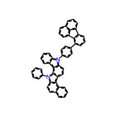 c1ccc(-n2c3ccc4ccccc4c3c3ccc4c(c5ccccc5n4-c4ccc(-c5cccc6c5-c5cccc7cccc-6c57)cc4)c32)cc1